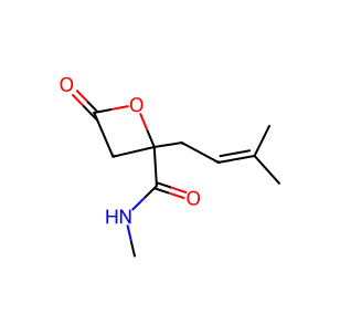 CNC(=O)C1(CC=C(C)C)CC(=O)O1